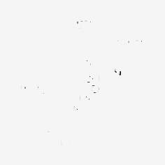 CCCCCCC(CC)OC(=O)CCCCCCCCN(CCCCCCCCC(=O)OC(CC)CCCCCC)CCCNC(=O)c1cc(C(=O)NCCCN(CCCCCCCCC(=O)OC(CC)CCCCCC)CCCCCCCCC(=O)OC(CC)CCCCCC)cc(C(=O)OCCCN(CC)CC)c1